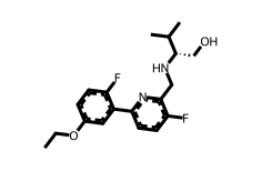 CCOc1ccc(F)c(-c2ccc(F)c(CN[C@@H](CO)C(C)C)n2)c1